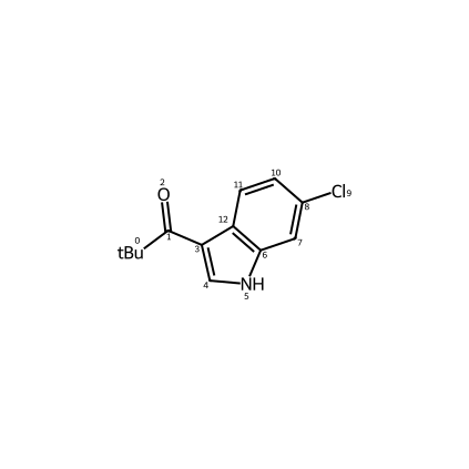 CC(C)(C)C(=O)c1c[nH]c2cc(Cl)ccc12